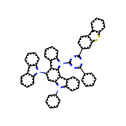 c1ccc(-c2nc(-c3ccc4c(c3)sc3ccccc34)nc(-n3c4ccccc4c4c(-n5c6ccccc6c6ccccc65)cc5c(c6ccccc6n5-c5ccccc5)c43)n2)cc1